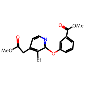 CCc1c(CC(=O)OC)ccnc1Oc1cccc(C(=O)OC)c1